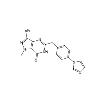 CCCc1nn(C)c2c(=O)[nH]c(Cc3ccc(-n4ccnc4)cc3)nc12